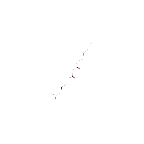 CN(C)CCCNC(=O)CC(=O)NCCCN(C)C